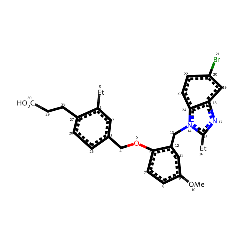 CCc1cc(COc2ccc(OC)cc2Cn2c(CC)nc3cc(Br)ccc32)ccc1CCC(=O)O